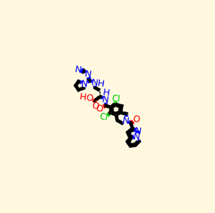 N#C/N=C(/NCC[C@H](NC(=O)c1c(Cl)cc2c(c1Cl)CCN(C(=O)c1cc3ccccn3n1)C2)C(=O)O)N1CCCC1